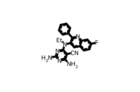 CCN(c1cc2ccc(F)cc2nc1-c1ccccc1)c1nc(N)nc(N)c1C#N